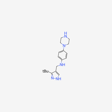 CC(C)(C)c1n[nH]cc1CNc1ccc(N2CCNCC2)cc1